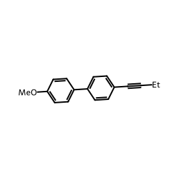 CCC#Cc1ccc(-c2ccc(OC)cc2)cc1